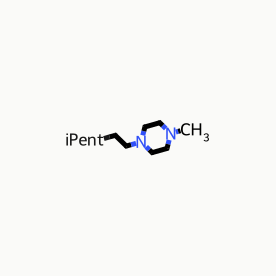 CCCC(C)CCN1CCN(C)CC1